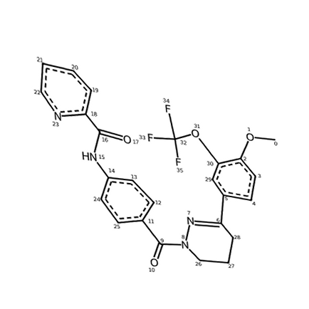 COc1ccc(C2=NN(C(=O)c3ccc(NC(=O)c4ccccn4)cc3)CCC2)cc1OC(F)(F)F